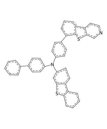 c1ccc(-c2ccc(N(c3ccc(-c4cccc5c4sc4cnccc45)cc3)c3ccc4c(c3)sc3ccccc34)cc2)cc1